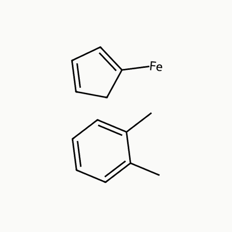 Cc1ccccc1C.[Fe][C]1=CC=CC1